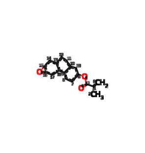 C=C(C)C(=O)Oc1ccc2c(ccc3cc4c(cc32)O4)c1